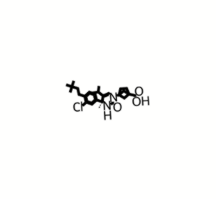 CC(C)C1=CN(C23CCC(C(=O)O)(C2)C3)C(=O)N[C@@]1(C)c1ccc(CCC(C)(C)C)c(Cl)c1